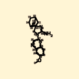 COc1ccc2nc(N3CC4(CC5CCC4CC5)N=C3N)cnc2c1